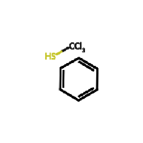 SC(Cl)(Cl)Cl.c1ccccc1